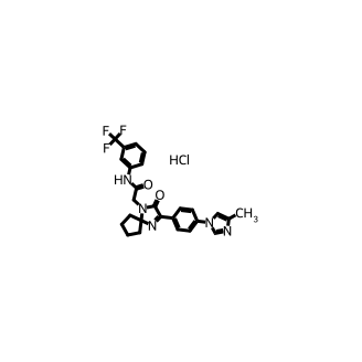 Cc1cn(-c2ccc(C3=NC4(CCCC4)N(CC(=O)Nc4cccc(C(F)(F)F)c4)C3=O)cc2)cn1.Cl